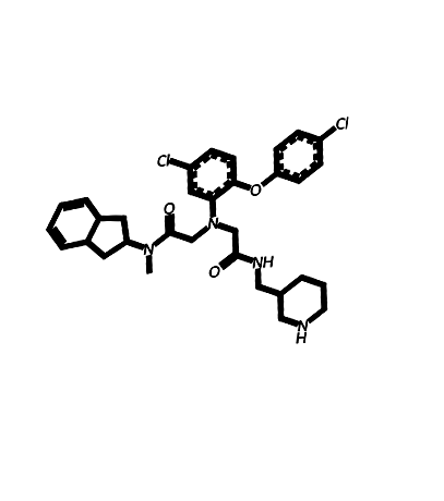 CN(C(=O)CN(CC(=O)NCC1CCCNC1)c1cc(Cl)ccc1Oc1ccc(Cl)cc1)C1CC2C=CC=CC2C1